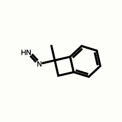 CC1(N=N)Cc2ccccc21